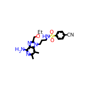 CCOCc1nc2c(N)nc(C)c(C)c2n1CCCNS(=O)(=O)c1ccc(C#N)cc1